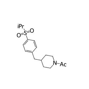 CC(=O)N1CCC(Cc2ccc(S(=O)(=O)C(C)C)cc2)CC1